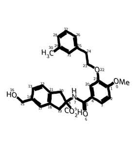 COc1ccc(C(=O)NC2(C(=O)O)Cc3ccc(CO)cc3C2)cc1OCCc1cccc(C)c1